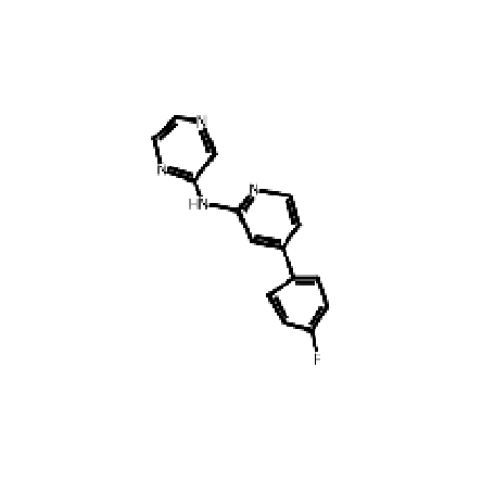 Fc1ccc(-c2ccnc(Nc3cnccn3)c2)cc1